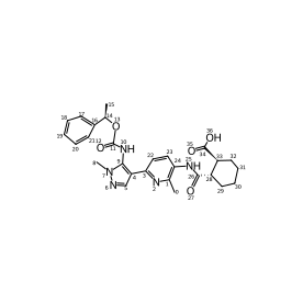 Cc1nc(-c2cnn(C)c2NC(=O)O[C@H](C)c2ccccc2)ccc1NC(=O)[C@H]1CCCC[C@@H]1C(=O)O